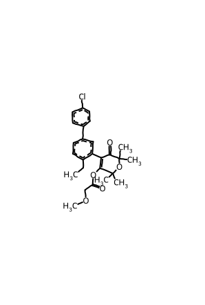 CCc1ccc(-c2ccc(Cl)cc2)cc1C1=C(OC(=O)COC)C(C)(C)OC(C)(C)C1=O